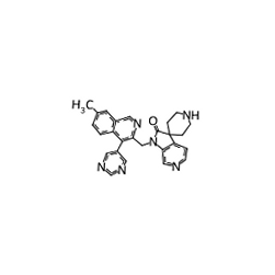 Cc1ccc2c(-c3cncnc3)c(CN3C(=O)C4(CCNCC4)c4ccncc43)ncc2c1